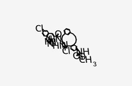 COC(=O)Nc1ccc2c(c1)CCCCc1cccc(c1)CC(NC(=O)/C=C/c1cc(Cl)ccc1-n1cnnn1)c1nc-2c(Cl)[nH]1